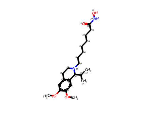 COc1cc2c(cc1OC)C(C(C)C)N(CCCCCCCC(=O)NO)CC2